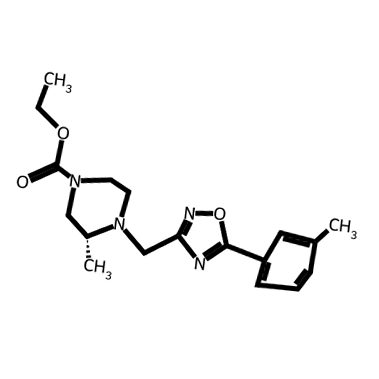 CCOC(=O)N1CCN(Cc2noc(-c3cccc(C)c3)n2)[C@H](C)C1